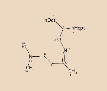 CCCCCCCCC(CCCCCCC)O/N=C(/C)CCN(C)CC